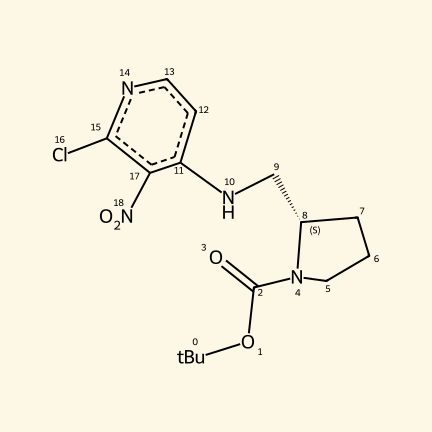 CC(C)(C)OC(=O)N1CCC[C@H]1CNc1ccnc(Cl)c1[N+](=O)[O-]